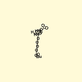 C[C@H](NC(=O)OCC1c2ccccc2-c2ccccc21)C(=O)NCCOCCOCCOCCOCCC(=O)OC(C)(C)C